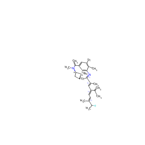 C=C(C)C(=C\C=C(/C)C(C)F)/C=C(C)/C(CC)=N/c1cc(C(=C)N(C)[C@@H]2CC[C@@H]2[C@@H](C)CC)cc(CC)c1C